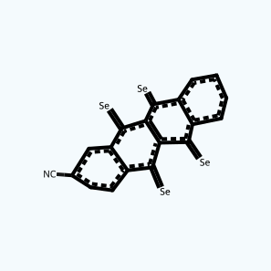 N#Cc1ccc2c(=[Se])c3c(=[Se])c4ccccc4c(=[Se])c=3c(=[Se])c2c1